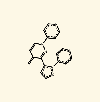 C=C1C=CN(c2ccncc2)N=C1c1ccnn1-c1ccncc1